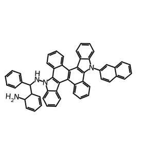 NC1C=CC=CC1C(Nn1c2ccccc2c2c3c4ccccc4c4c(c5ccccc5n4-c4ccc5ccccc5c4)c3c3ccccc3c21)c1ccccc1